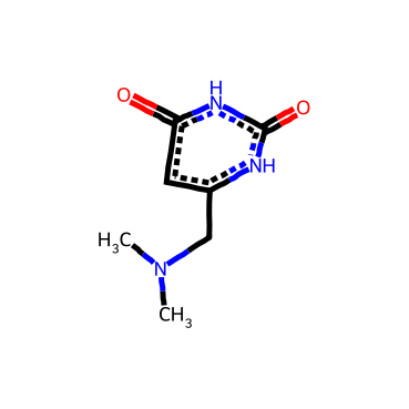 CN(C)Cc1cc(=O)[nH]c(=O)[nH]1